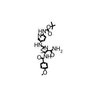 COc1ccc(C(=O)Nc2sc(Nc3ccc(NC(=O)OC(C)(C)C)nc3)nc2C(N)=O)cc1